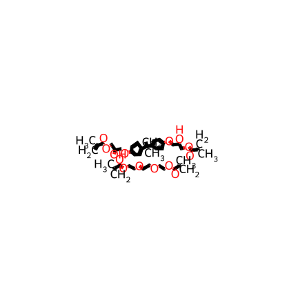 C=C(C)C(=O)OCC(O)COc1ccc(C(C)(C)c2ccc(OCC(O)COC(=O)C(=C)C)cc2)cc1.C=C(C)C(=O)OCCOCCOCCOC(=O)C(=C)C